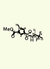 COC(=O)c1cc(S(=O)(=O)N[C@H](C)C(C)(F)F)cn1C